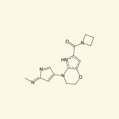 C/N=C1/C=C(N2CCOc3cc(C(=O)N4CCC4)[nH]c32)C=N1